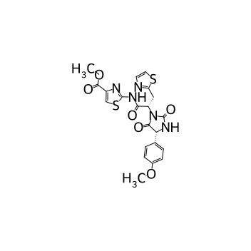 COC(=O)c1csc(NC(=O)[C@H](Cc2nccs2)N2C(=O)N[C@H](c3ccc(OC)cc3)C2=O)n1